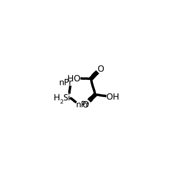 CCC[SiH2]CCC.O=C(O)C(=O)O